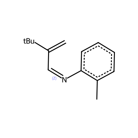 C=C(/C=N\c1ccccc1C)C(C)(C)C